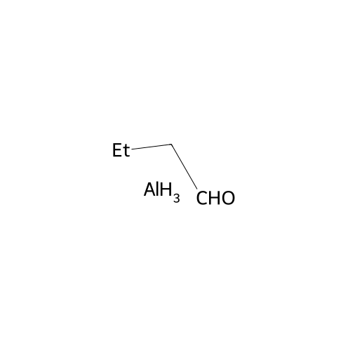 CCCC=O.[AlH3]